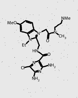 CCn1c(CNC(=O)c2nc(Cl)c(N)nc2N)[n+](CC(=O)N(C)CCNC)c2ccc(OC)cc21